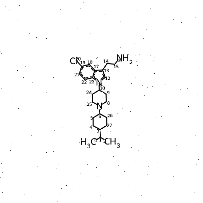 CC(C)[C@H]1CC[C@@H](N2CCC(n3cc(CCN)c4cc(Cl)ccc43)CC2)CC1